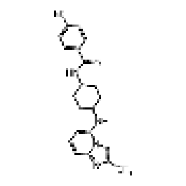 CCc1ccc(C(=O)NC2CCC(Nc3cccc4nc(C(F)(F)F)cn34)CC2)cc1